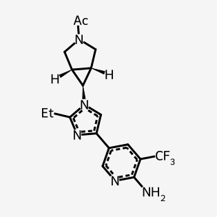 CCc1nc(-c2cnc(N)c(C(F)(F)F)c2)cn1[C@H]1[C@@H]2CN(C(C)=O)C[C@@H]21